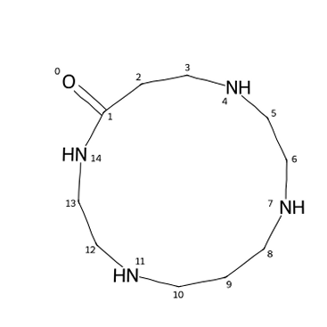 O=C1CCNCCNCCCNCCN1